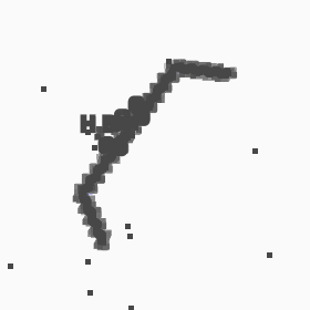 BCC(=O)N(CCOC(=O)CCCCCCC/C=C\CCCCCCCC)CCOC(=O)CCCCCCC/C=C\CCCCCCCC